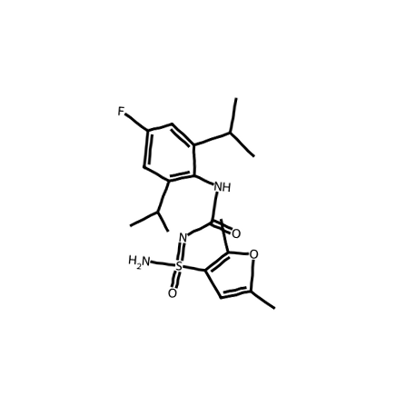 Cc1cc(S(N)(=O)=NC(=O)Nc2c(C(C)C)cc(F)cc2C(C)C)c(C)o1